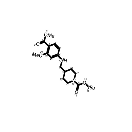 COC(=O)c1ccc(NCC2CCN(C(=O)OC(C)(C)C)CC2)cc1OC